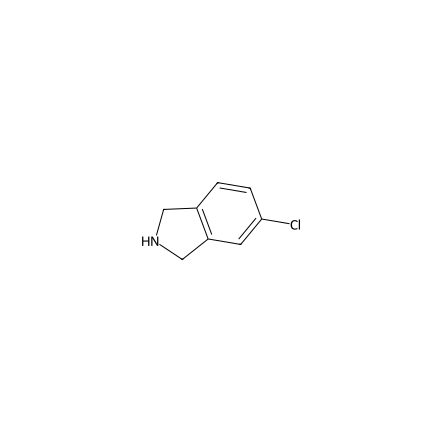 Clc1ccc2c(c1)CNC2